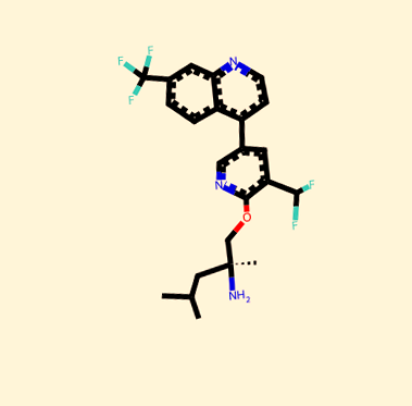 CC(C)C[C@](C)(N)COc1ncc(-c2ccnc3cc(C(F)(F)F)ccc23)cc1C(F)F